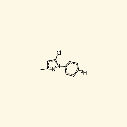 [2H]c1ccc(-n2nc(C)cc2Cl)cc1